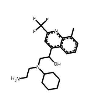 Cc1cccc2c(C(O)CN(CCN)C3CCCCC3)cc(C(F)(F)F)nc12